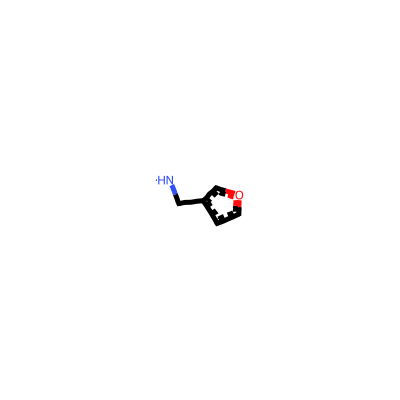 [NH]Cc1ccoc1